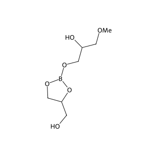 COCC(O)COB1OCC(CO)O1